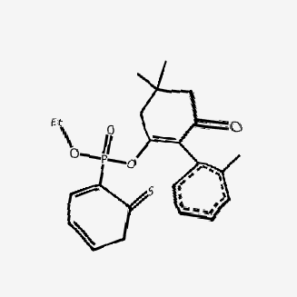 CCOP(=O)(OC1=C(c2ccccc2C)C(=O)CC(C)(C)C1)C1=CC=CCC1=S